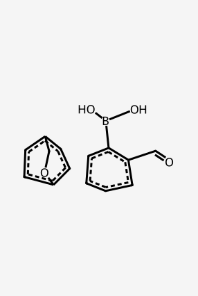 O=Cc1ccccc1B(O)O.c1cc2ccc1CO2